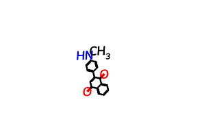 CNc1ccc(C2=CC(=O)c3ccccc3C2=O)cc1